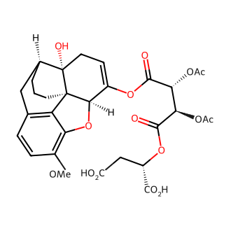 COc1ccc2c3c1O[C@@H]1C(OC(=O)[C@H](OC(C)=O)[C@@H](OC(C)=O)C(=O)O[C@@H](CC(=O)O)C(=O)O)=CC[C@]4(O)[C@@H](CCC[C@@]314)C2